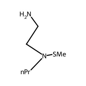 CCCN(CCN)SC